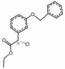 CCOC(=O)[C@@H](Cl)c1cccc(OCc2ccccc2)c1